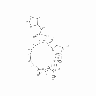 C[C@@H]1C[C@H]2C(=O)N[C@]3(C(=O)O)C[C@H]3/C=C\CCCCC[C@H](NC(=O)OC3CCCC3)C(=O)N2C1